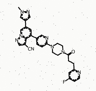 Cn1cc(-c2cc(-c3ccc(N4CCN(C(=O)CCc5cc(F)ccn5)CC4)nc3)c3c(C#N)cnn3c2)cn1